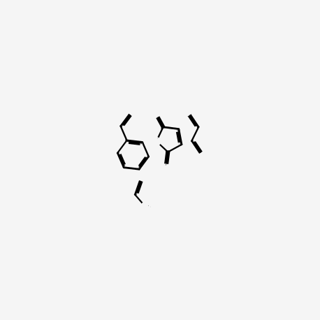 C=CC#N.C=CC=C.C=Cc1ccccc1.O=C1C=CC(=O)O1